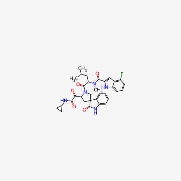 CC(C)CC(C(=O)N1C[C@]2(C[C@H]1C(=O)C(=O)NC1CC1)C(=O)Nc1ccccc12)N(C)C(=O)c1cc2c(F)cccc2[nH]1